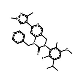 COc1cc(C(C)C)c(F)c(N2Cc3cnc(-c4cn(C)nc4C)cc3N(Cc3ccncc3)C2=O)c1F